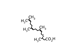 CC(C)=CCCC(C)=CCCC(C)=CCSC(C)CC(=O)O